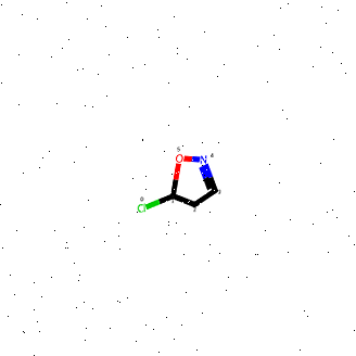 ClC1[C]C=NO1